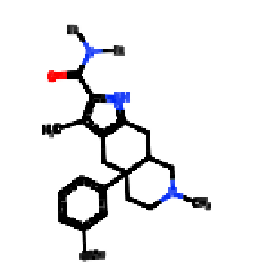 CCN(CC)C(=O)c1[nH]c2c(c1C)CC1(c3cccc(OC)c3)CCN(C)CC1C2